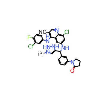 CC(C)N1C=C([C@@H](Nc2cc(Cl)c3ncc(C#N)c(Nc4ccc(F)c(Cl)c4)c3c2)c2cccc(N3CCCC3=O)c2)NN1